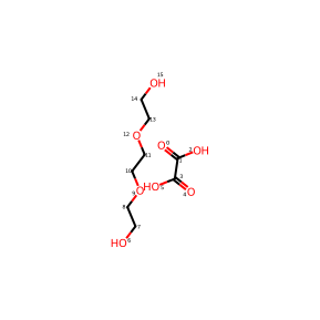 O=C(O)C(=O)O.OCCOCCOCCO